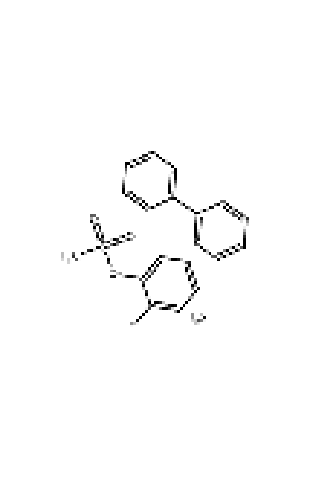 O=S(=O)(Oc1ccccc1F)C(F)(F)F.S.c1ccc(-c2ccccc2)cc1